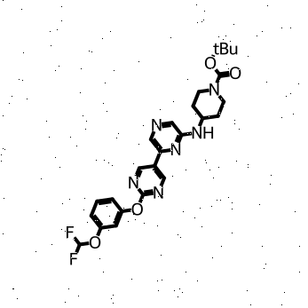 CC(C)(C)OC(=O)N1CCC(Nc2cncc(-c3cnc(Oc4cccc(OC(F)F)c4)nc3)n2)CC1